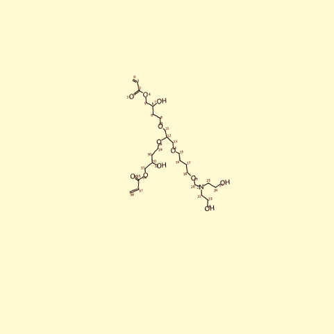 C=CC(=O)OCC(O)CCOCC(COCCCCOCN(CCO)CCO)OCCC(O)COC(=O)C=C